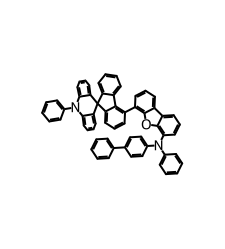 c1ccc(-c2ccc(N(c3ccccc3)c3cccc4c3oc3c(-c5cccc6c5-c5ccccc5C65c6ccccc6N(c6ccccc6)c6ccccc65)cccc34)cc2)cc1